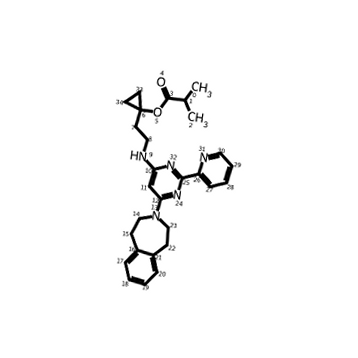 CC(C)C(=O)OC1(CCNc2cc(N3CCc4ccccc4CC3)nc(-c3ccccn3)n2)CC1